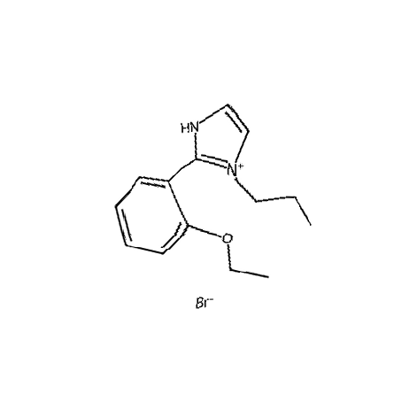 CCC[n+]1cc[nH]c1-c1ccccc1OCC.[Br-]